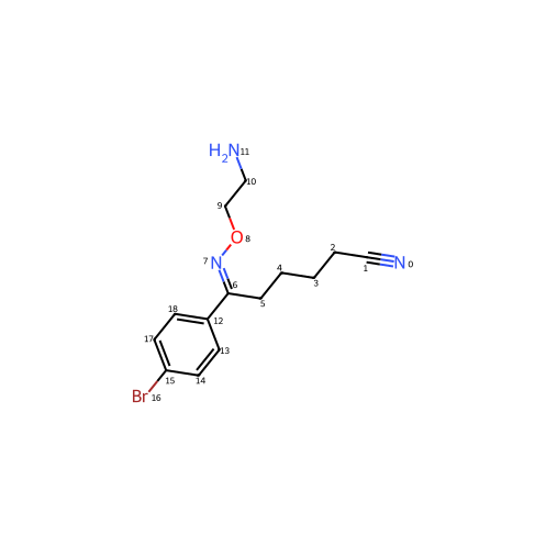 N#CCCCCC(=NOCCN)c1ccc(Br)cc1